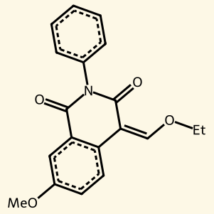 CCOC=C1C(=O)N(c2ccccc2)C(=O)c2cc(OC)ccc21